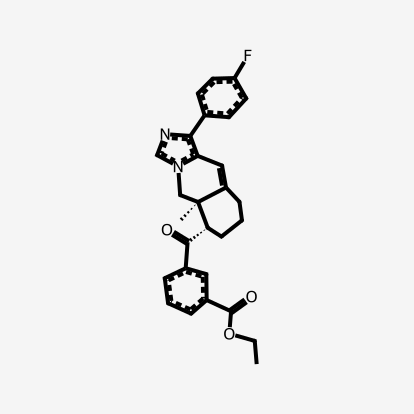 CCOC(=O)c1cccc(C(=O)[C@H]2CCCC3=Cc4c(-c5ccc(F)cc5)ncn4C[C@@]32C)c1